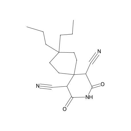 CCCC1(CCC)CCC2(CC1)C(C#N)C(=O)NC(=O)C2C#N